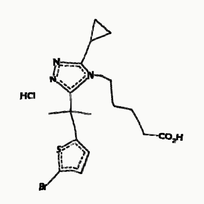 CC(C)(c1ccc(Br)s1)c1nnc(C2CC2)n1CCCCC(=O)O.Cl